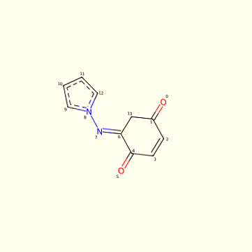 O=C1C=CC(=O)C(=Nn2cccc2)C1